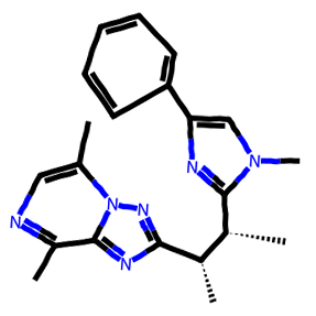 Cc1ncc(C)n2nc([C@@H](C)[C@@H](C)c3nc(-c4ccccc4)cn3C)nc12